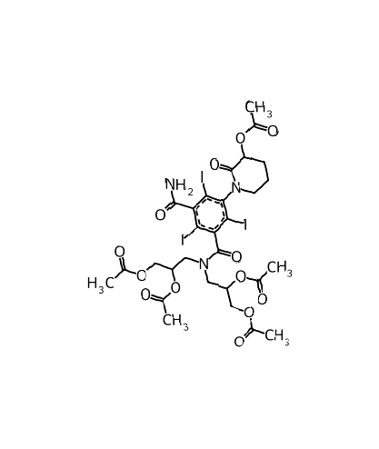 CC(=O)OCC(CN(CC(COC(C)=O)OC(C)=O)C(=O)c1c(I)c(C(N)=O)c(I)c(N2CCCC(OC(C)=O)C2=O)c1I)OC(C)=O